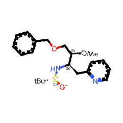 CO[C@H](COCc1ccccc1)[C@@H](Cc1ccccn1)N[S@+]([O-])C(C)(C)C